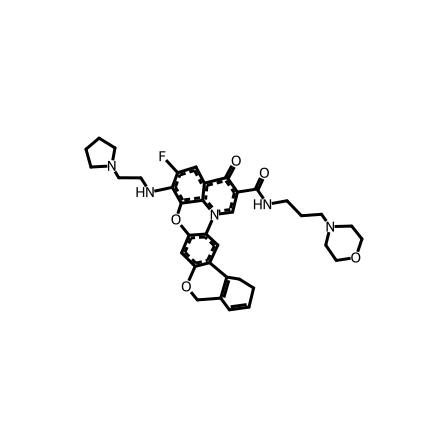 O=C(NCCCN1CCOCC1)c1cn2c3c(c(NCCN4CCCC4)c(F)cc3c1=O)Oc1cc3c(cc1-2)C1=C(C=CCC1)CO3